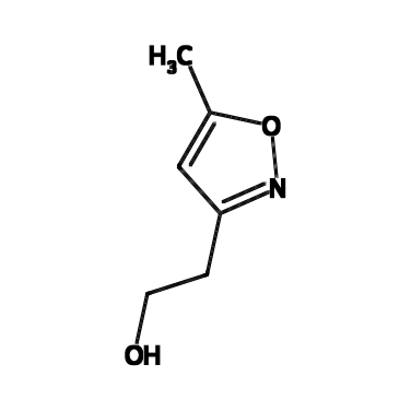 Cc1cc(CCO)no1